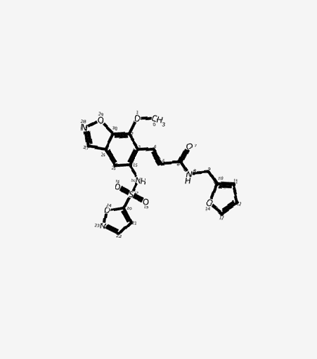 COc1c(C=CC(=O)NCc2ccco2)c(NS(=O)(=O)c2ccno2)cc2cnoc12